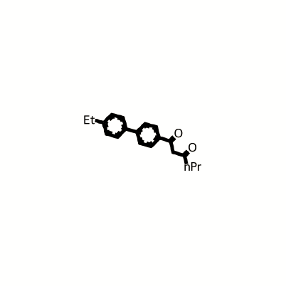 CCCC(=O)CC(=O)c1ccc(-c2ccc(CC)cc2)cc1